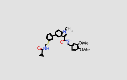 COc1ccc(CNC(=O)c2cn(C)c3ccc(-c4cccc(SCNC(=O)C5CC5)c4)cc23)cc1OC